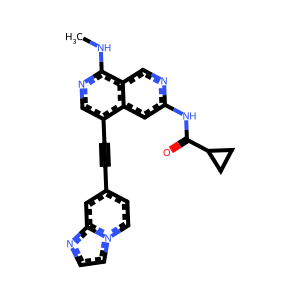 CNc1ncc(C#Cc2ccn3ccnc3c2)c2cc(NC(=O)C3CC3)ncc12